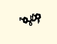 O=C(NCc1c(F)cccc1F)c1ccc(F)cc1